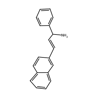 NC(/C=C/c1ccc2ccccc2c1)c1ccccc1